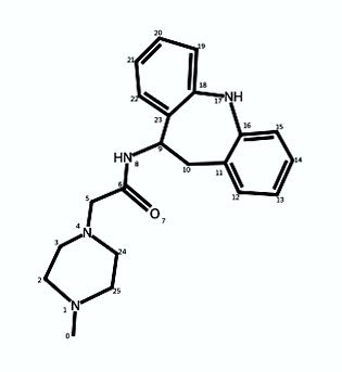 CN1CCN(CC(=O)NC2Cc3ccccc3Nc3ccccc32)CC1